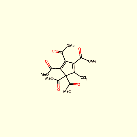 COC(=O)C1=C(C(=O)OC)C(C(=O)OC)(C(=O)OC)C(C(Cl)(Cl)Cl)=C1C(=O)OC